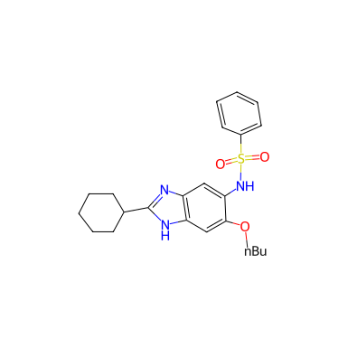 CCCCOc1cc2[nH]c(C3CCCCC3)nc2cc1NS(=O)(=O)c1ccccc1